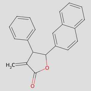 C=C1C(=O)OC(c2ccc3ccccc3c2)C1c1ccccc1